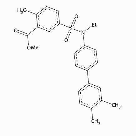 CCN(c1ccc(-c2ccc(C)c(C)c2)cc1)S(=O)(=O)c1ccc(C)c(C(=O)OC)c1